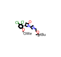 COCOc1ccc(Cl)c(Cl)c1[C@@H]1CC(=O)N(C2CN(CCO[Si](C)(C)C(C)(C)C)C2)C1